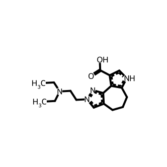 CCN(CC)CCn1cc2c(n1)-c1c(C(=O)O)c[nH]c1CCC2